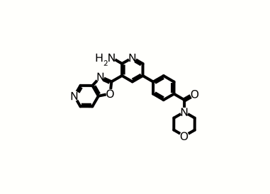 Nc1ncc(-c2ccc(C(=O)N3CCOCC3)cc2)cc1-c1nc2cnccc2o1